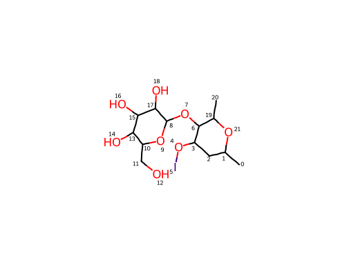 CC1CC(OI)C(OC2OC(CO)C(O)C(O)C2O)C(C)O1